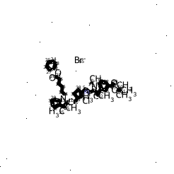 CC[N+]1=C(/C=C/C2=C(Cl)C(C=C=C3N(CCCCCC(=O)Oc4ccccc4)c4ccccc4C3(C)C)CC2)C(C)(C)c2cc(C(=O)OC(C)(C)C)ccc21.[Br-]